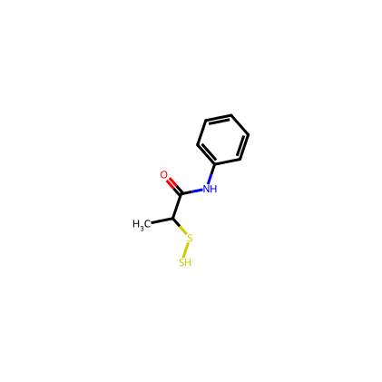 CC(SS)C(=O)Nc1ccccc1